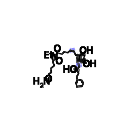 CCN(C(=O)CCC/C=C\C[C@@H]1[C@@H](/C=C/[C@@H](O)CCc2ccccc2)[C@H](O)C[C@@H]1O)C(=O)CCCCCON